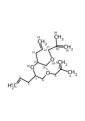 C=CCC(COCC(=C)C)OC(CC=C)COCC(=C)C